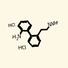 CNCCc1ccccc1-c1ccccc1N.Cl.Cl